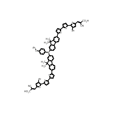 CC(C)Oc1ccc(N(c2ccc3c(c2)C(C)(C)c2cc(-c4ccc(-c5ccc(-c6sc(/C=C(\C#N)C(=O)O)cc6C(C)C)s5)s4)ccc2-3)c2ccc3c(c2)C(C)(C)c2cc(-c4ccc(-c5ccc(-c6sc(/C=C(\C#N)C(=O)O)cc6C(C)C)s5)s4)ccc2-3)cc1